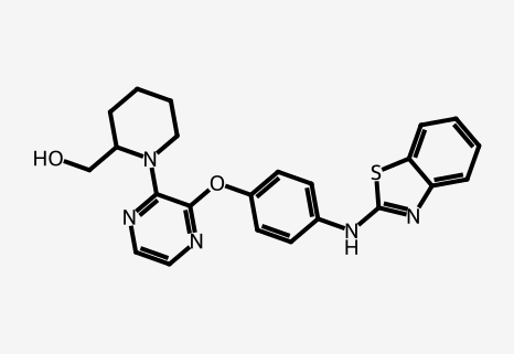 OCC1CCCCN1c1nccnc1Oc1ccc(Nc2nc3ccccc3s2)cc1